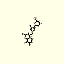 Cc1cn(Cc2cc(=O)[nH]c3c(F)c(F)ccc23)nc1-c1cccc(Cl)c1